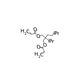 C=CC(=O)OCC(CCC(C)C)(COC(=O)C=C)C(C)C